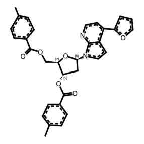 Cc1ccc(C(=O)OC[C@H]2O[C@@H](n3ccc4c(-c5ccco5)ccnc43)C[C@@H]2OC(=O)c2ccc(C)cc2)cc1